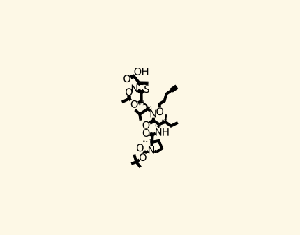 C#CCCCON(C(=O)[C@@H](NC(=O)[C@@]1(C)CCCN1C(=O)OC(C)(C)C)[C@@H](C)CC)[C@H](C[C@@H](OC(C)=O)c1nc(C(=O)O)cs1)C(C)C